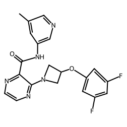 Cc1cncc(NC(=O)c2nccnc2N2CC(Oc3cc(F)cc(F)c3)C2)c1